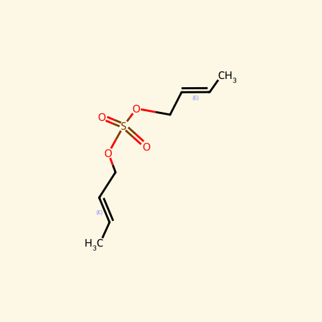 C/C=C/COS(=O)(=O)OC/C=C/C